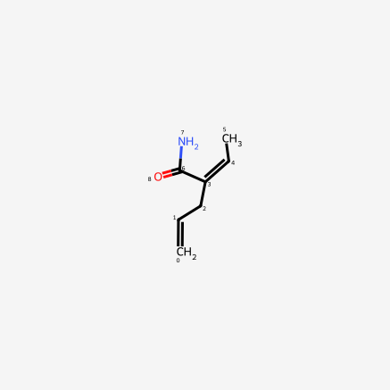 C=CCC(=CC)C(N)=O